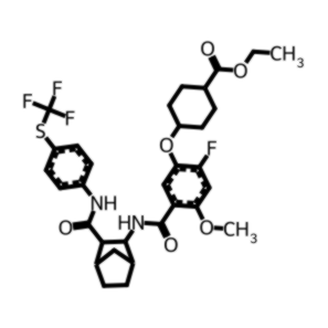 CCOC(=O)C1CCC(Oc2cc(C(=O)NC3C4CCC(C4)C3C(=O)Nc3ccc(SC(F)(F)F)cc3)c(OC)cc2F)CC1